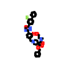 CN(CCO)C(=O)C1(C(=O)OCc2ccccc2)CCN(Cc2ccc(-c3noc(-c4ccc(-c5ccccc5)c(F)c4)n3)cc2)CC1